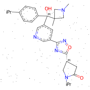 CC(C)c1ccc([C@](O)(c2cncc(-c3noc([C@@H]4CC(=O)N(C(C)C)C4)n3)c2)C2(C)CN(C)C2)cc1